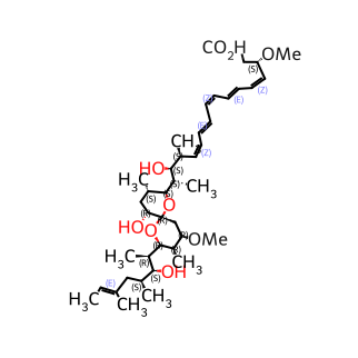 C/C=C(\C)C[C@H](C)[C@H](O)[C@@H](C)[C@H]1O[C@@]2(C[C@@H](OC)[C@H]1C)O[C@H]([C@@H](C)[C@@H](O)[C@@H](C)\C=C/C=C/C=C\C=C\C=C/[C@H](CC(=O)O)OC)[C@@H](C)C[C@H]2O